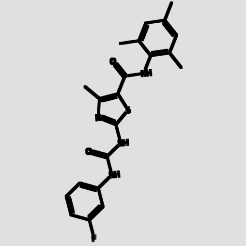 Cc1cc(C)c(NC(=O)c2sc(NC(=O)Nc3cccc(F)c3)nc2C)c(C)c1